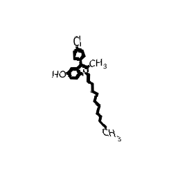 CCCCCCCCCCCCn1c(C)c(-c2ccc(Cl)cc2)c2cc(O)ccc21